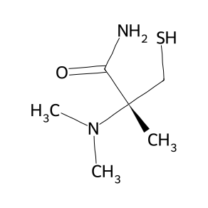 CN(C)[C@@](C)(CS)C(N)=O